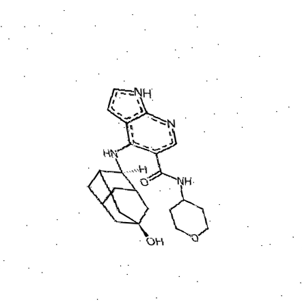 O=C(NC1CCOCC1)c1cnc2[nH]ccc2c1N[C@H]1C2CC3CC1C[C@@](O)(C3)C2